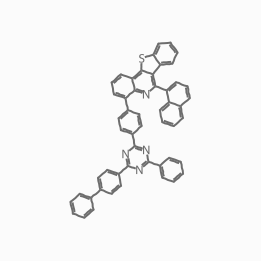 c1ccc(-c2ccc(-c3nc(-c4ccccc4)nc(-c4ccc(-c5cccc6c5nc(-c5cccc7ccccc57)c5c7ccccc7sc65)cc4)n3)cc2)cc1